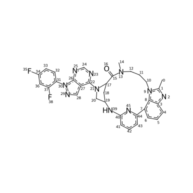 Cc1nc2cccc3c2n1CCCN(C)C(=O)C1CC(CN1c1ncnc2c1cnn2-c1ccc(F)cc1F)Nc1cccc-3n1